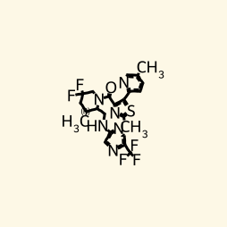 Cc1ccc(-c2sc(C)nc2C(=O)N2CC(F)(F)C[C@@H](C)C2CNc2cnc(C(F)(F)F)cn2)nc1